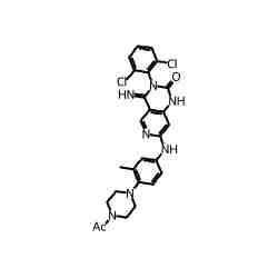 CC(=O)N1CCN(c2ccc(Nc3cc4[nH]c(=O)n(-c5c(Cl)cccc5Cl)c(=N)c4cn3)cc2C)CC1